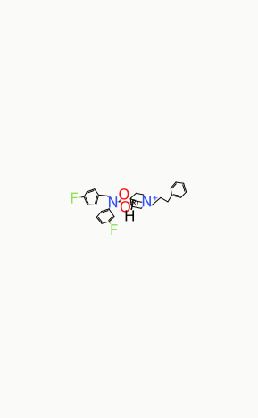 O=C(O[C@H]1C[N+]2(CCCc3ccccc3)CCC1CC2)N(Cc1ccc(F)cc1)c1cccc(F)c1